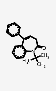 CC(C)(C)N1C(=O)CC=C(c2ccccc2)c2ccccc21